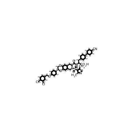 Cc1noc(C)c1S(=O)(=O)N1Cc2cc3c(cc2C[C@H]1C(=O)NC(Cc1ccc(-c2ccc(C#N)cc2)cc1)C(=O)O)OC[C@H](c1ccc(OCc2ccc(Cl)c(Cl)c2)cc1)O3